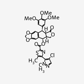 COc1cc([C@@H]2c3cc4c(cc3[C@H](OC(=O)c3nc(-c5c(Cl)cnn5C)c(C)s3)[C@H]3COC(=O)[C@@H]23)OCO4)cc(OC)c1OC